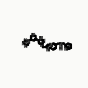 c1cc2nc(Cn3cc(-c4cncc(-n5cnnn5)c4)nn3)cn2cc1CNCC1CC2CCN1CC2